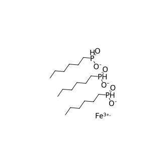 CCCCCC[PH](=O)[O-].CCCCCC[PH](=O)[O-].CCCCCC[PH](=O)[O-].[Fe+3]